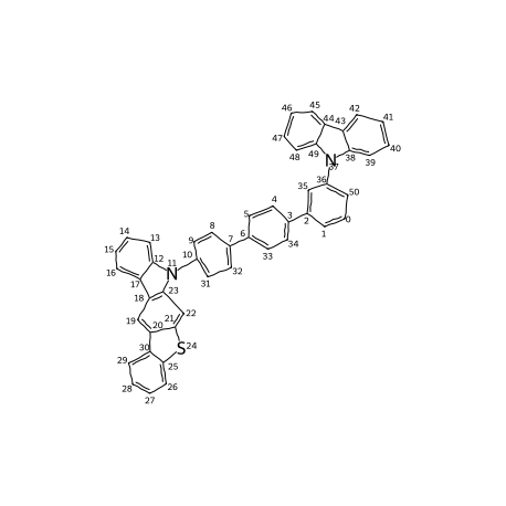 c1cc(-c2ccc(-c3ccc(-n4c5ccccc5c5cc6c(cc54)sc4ccccc46)cc3)cc2)cc(-n2c3ccccc3c3ccccc32)c1